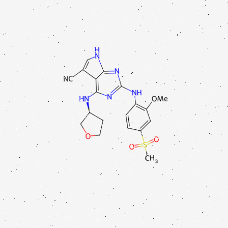 COc1cc(S(C)(=O)=O)ccc1Nc1nc(N[C@H]2CCOC2)c2c(C#N)c[nH]c2n1